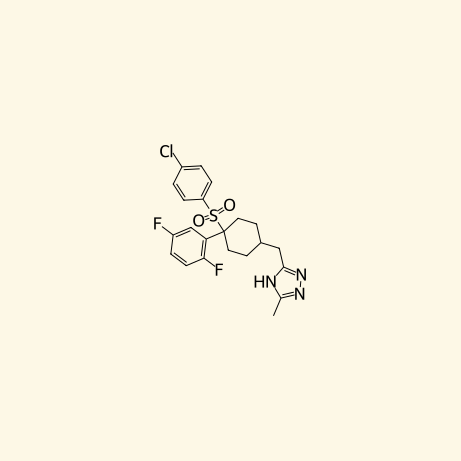 Cc1nnc(CC2CCC(c3cc(F)ccc3F)(S(=O)(=O)c3ccc(Cl)cc3)CC2)[nH]1